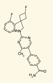 Cc1nc(NCC2(c3ncccc3F)CC(F)C2)ncc1-c1ccc(C(N)=O)cc1